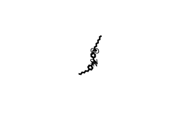 CCCCCCCCC(=O)Oc1ccc(-c2nnc(-c3ccc(CCCCCC)cc3)s2)cc1